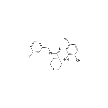 N#Cc1ccc(C#N)c2c1N=C(NCc1cccc(Cl)c1)C1(CCOCC1)N2